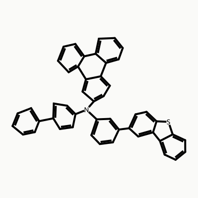 c1ccc(-c2ccc(N(c3cccc(-c4ccc5sc6ccccc6c5c4)c3)c3ccc4c5ccccc5c5ccccc5c4c3)cc2)cc1